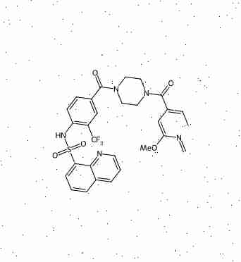 C=N/C(=C\C(=C/C)C(=O)N1CCN(C(=O)c2ccc(NS(=O)(=O)c3cccc4cccnc34)c(C(F)(F)F)c2)CC1)OC